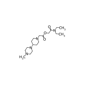 CCN(CC)C(=O)COC(=O)CN1CCC(N2CCN(C)CC2)CC1